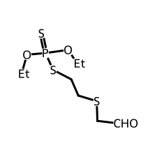 CCOP(=S)(OCC)SCCSCC=O